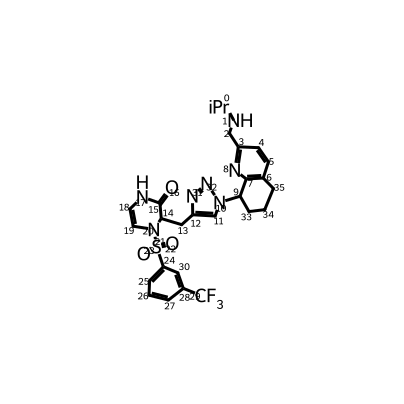 CC(C)NCc1ccc2c(n1)C(n1cc(CC3C(=O)NC=CN3S(=O)(=O)c3cccc(C(F)(F)F)c3)nn1)CCC2